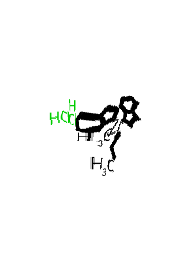 CCC[CH]=[Zr]([CH3])([CH]1C=Cc2ccccc21)[CH]1C=Cc2ccccc21.Cl.Cl